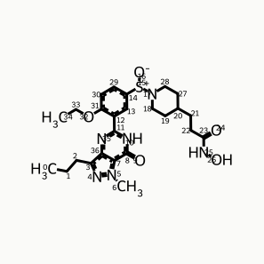 CCCc1nn(C)c2c(=O)[nH]c(-c3cc([S+]([O-])N4CCC(CCC(=O)NO)CC4)ccc3OCC)nc12